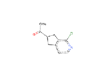 COC(=O)C1Cc2ccnc(Cl)c2C1